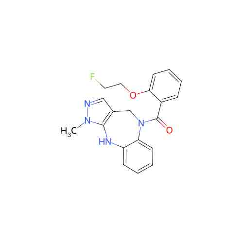 Cn1ncc2c1Nc1ccccc1N(C(=O)c1ccccc1OCCF)C2